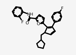 O=C(Nc1ccccc1F)c1ccc(C2=C(c3ccc(F)cc3)C=CC2CC2CCCC2)o1